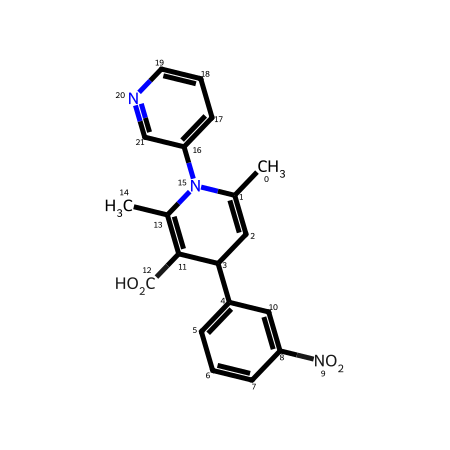 CC1=CC(c2cccc([N+](=O)[O-])c2)C(C(=O)O)=C(C)N1c1cccnc1